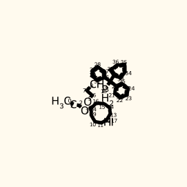 CCCOC1(OCCC)CCCCCCCC1.I.PC(c1ccccc1)(c1ccccc1)c1ccccc1